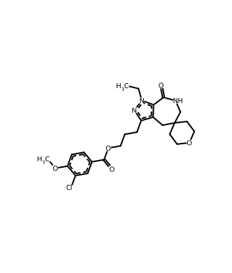 CCn1nc(CCCOC(=O)c2ccc(OC)c(Cl)c2)c2c1C(=O)NCC1(CCOCC1)C2